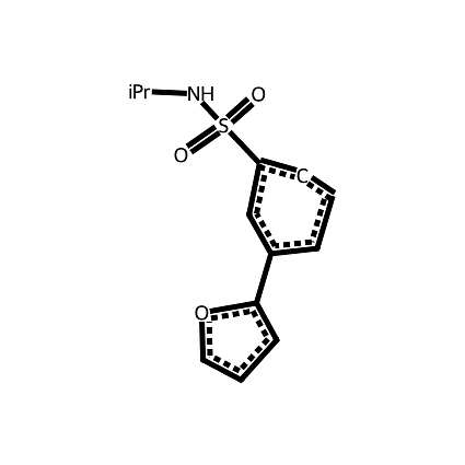 CC(C)NS(=O)(=O)c1cccc(-c2ccco2)c1